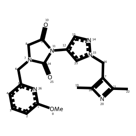 COc1cccc(CN2CC(=O)N(c3cnn(CC4=C(C)N=C4C)c3)C2=O)n1